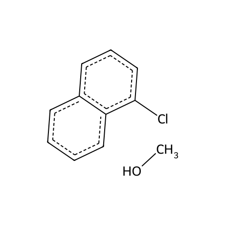 CO.Clc1cccc2ccccc12